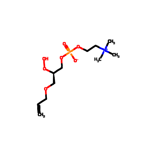 C=CCOC[C@H](COP(=O)([O-])OCC[N+](C)(C)C)OO